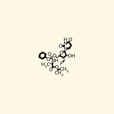 CC(C)OC(=O)[C@H](C)NP(=O)(OC[C@H]1O[C@@H](n2ccc(=O)[nH]c2=O)[C@H](O)[C@@H]1CF)Oc1ccccc1